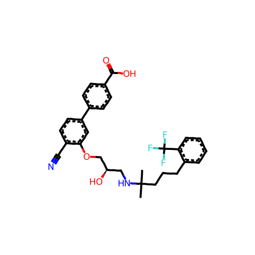 CC(C)(CCCc1ccccc1C(F)(F)F)NC[C@@H](O)COc1cc(-c2ccc(C(=O)O)cc2)ccc1C#N